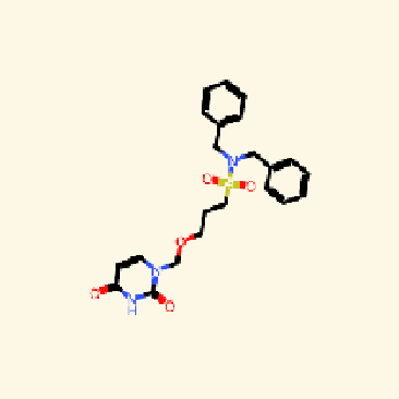 O=c1ccn(COCCCS(=O)(=O)N(Cc2ccccc2)Cc2ccccc2)c(=O)[nH]1